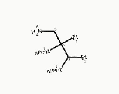 CCCCCC(CC)C(CC)(CN)CCCCC